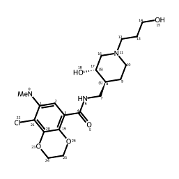 CNc1cc(C(=O)NC[C@@H]2CCN(CCCO)C[C@H]2O)c2c(c1Cl)OCCO2